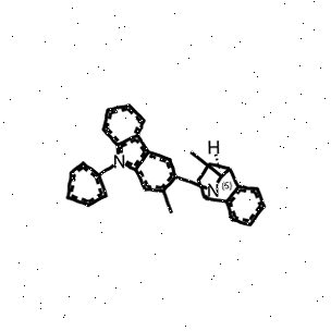 Cc1cc2c(cc1N1C3CCC(c4ccccc43)[C@@H]1C)c1ccccc1n2-c1ccccc1